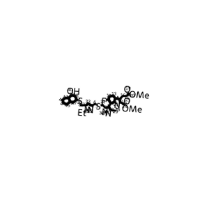 CCn1nc(CSCc2c(-c3c(F)ccc4c(CCC(=O)OC)c(C(=O)OC)n(C)c34)c(C)nn2C)cc1CSc1cc(O)c2ccccc2c1